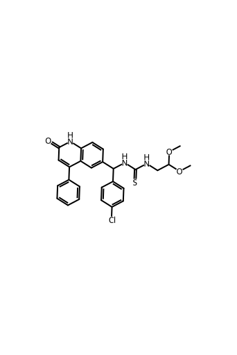 COC(CNC(=S)NC(c1ccc(Cl)cc1)c1ccc2[nH]c(=O)cc(-c3ccccc3)c2c1)OC